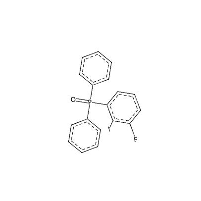 O=P(c1ccccc1)(c1ccccc1)c1cccc(F)c1I